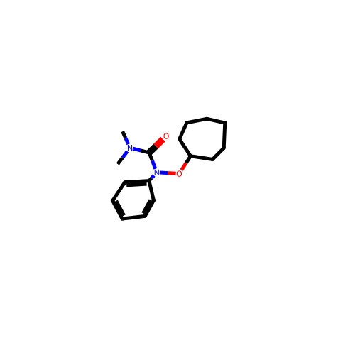 CN(C)C(=O)N(OC1CCCCCC1)c1ccccc1